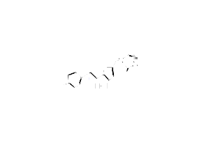 Cl.O=c1[nH]ncn1Cc1ccc(/C=C/c2ccc(F)cc2)s1